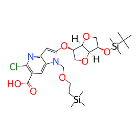 CC(C)(C)[Si](C)(C)O[C@@H]1CO[C@H]2[C@@H]1OC[C@H]2Oc1cc2nc(Cl)c(C(=O)O)cc2n1COCC[Si](C)(C)C